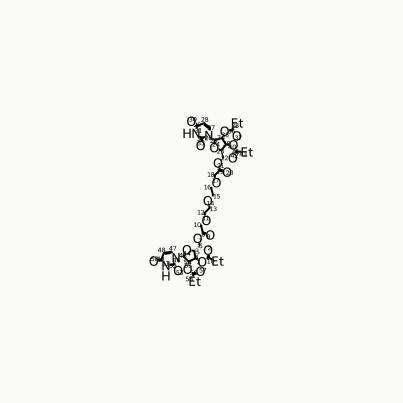 CCC(=O)OC1[C@@H](COC(=O)COCCOCCOCC(=O)OC[C@H]2O[C@@H](n3ccc(=O)[nH]c3=O)[C@@H](OC(=O)CC)C2OC(=O)CC)O[C@@H](n2ccc(=O)[nH]c2=O)[C@H]1OC(=O)CC